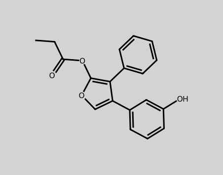 CCC(=O)Oc1occ(-c2cccc(O)c2)c1-c1ccccc1